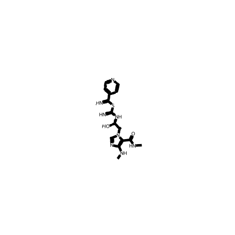 CNC(=O)c1c(NC)ncn1CC(O)NC(=N)SC(=N)c1ccncc1